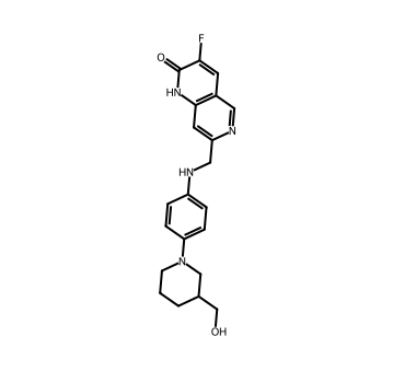 O=c1[nH]c2cc(CNc3ccc(N4CCCC(CO)C4)cc3)ncc2cc1F